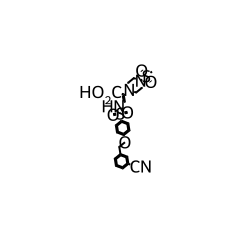 CS(=O)(=O)N1CCN(C(=CNS(=O)(=O)c2ccc(OCc3cccc(C#N)c3)cc2)C(=O)O)CC1